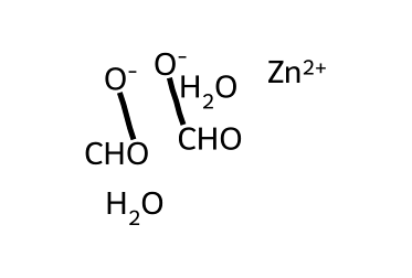 O.O.O=C[O-].O=C[O-].[Zn+2]